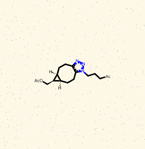 CC(=O)CCCn1nnc2c1CC[C@@H]1[C@H](CC2)[C@@H]1COC(C)=O